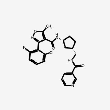 Cc1onc(-c2c(F)cccc2Cl)c1C(=O)N[C@@H]1CC[C@H](CNC(=O)c2cccnc2)C1